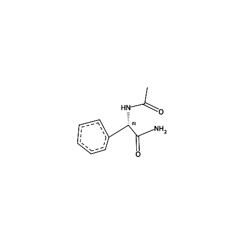 CC(=O)N[C@H](C(N)=O)c1ccccc1